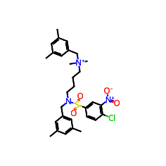 Cc1cc(C)cc(CN(CCCC[N+](C)(C)Cc2cc(C)cc(C)c2)S(=O)(=O)c2ccc(Cl)c([N+](=O)[O-])c2)c1